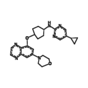 c1cnc2c(OC3CCC(Nc4ncc(C5CC5)cn4)CC3)cc(N3CCOCC3)cc2n1